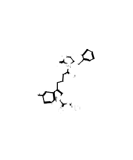 CC(C)(C)OC(=O)n1cc(CCCC(=O)N2C(=O)OC[C@H]2Cc2ccccc2)c2cc(F)ccc21